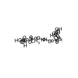 Cc1c(-c2ccc(OCCCN3CCN(CCCOc4ccc(-c5c(C)c(C(=O)c6ccc7c(=O)n(CC(=O)O)c(=O)[nH]c7c6)n6ccccc56)cc4)CC3)cc2)c2ccccn2c1C(=O)c1ccc2c(=O)n(CC(=O)O)c(=O)[nH]c2c1